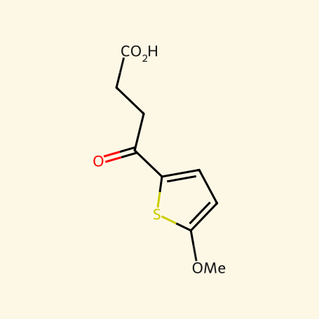 COc1ccc(C(=O)CCC(=O)O)s1